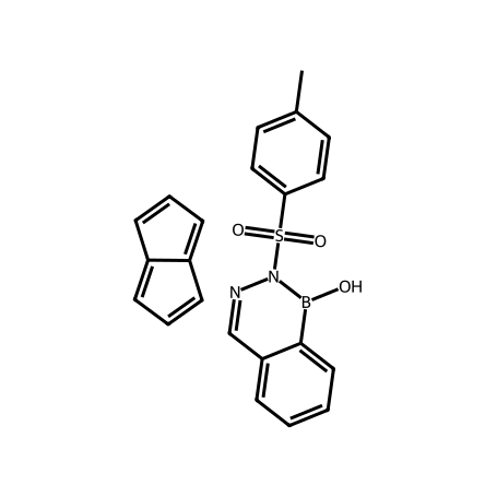 C1=CC2=CC=CC2=C1.Cc1ccc(S(=O)(=O)N2N=Cc3ccccc3B2O)cc1